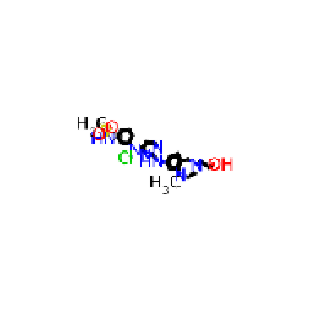 CN1CCN(CCO)Cc2ccc(Nc3nccc(N(Cl)C4CCC[C@@H](NS(C)(=O)=O)C4)n3)cc21